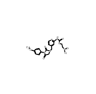 CCN(CC)CCOC(=O)Nc1cc(CN2CC(=O)N(c3ccc(OC(F)(F)F)cc3)C2=O)ccn1